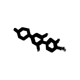 CC1CCC(c2cc(F)c(-c3ccc(P)c(F)c3)c(F)c2)CC1